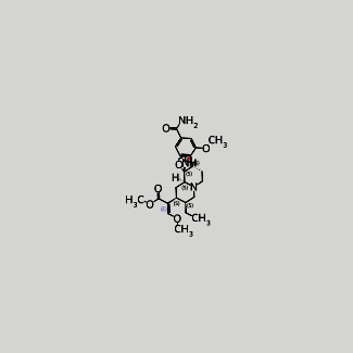 CC[C@@H]1CN2CC[C@@]34OCCO[C@@]3(Nc3cc(C(N)=O)cc(OC)c34)[C@@H]2C[C@@H]1/C(=C\OC)C(=O)OC